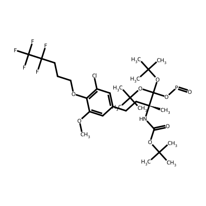 COc1cc(CC[C@@](C)(NC(=O)OC(C)(C)C)C(OP=O)(OC(C)(C)C)OC(C)(C)C)cc(Cl)c1OCCCC(F)(F)C(F)(F)F